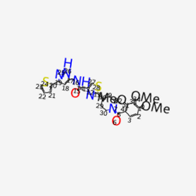 COc1ccc(C(=O)N2CCC(c3nc(C(=O)Nc4cc(-c5cccs5)n[nH]4)cs3)CC2)c(OC)c1OC